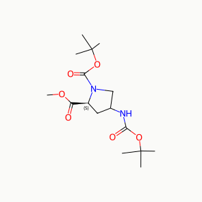 COC(=O)[C@@H]1CC(NC(=O)OC(C)(C)C)CN1C(=O)OC(C)(C)C